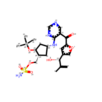 C=C(C)[C@H](O)c1coc(C(=O)c2cncnc2N[C@@H]2C[C@H](COS(N)(=O)=O)[C@@H](O[Si](C(C)C)(C(C)C)C(C)C)C2)c1